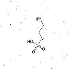 CC(C)CC[N]S(=O)(=O)O